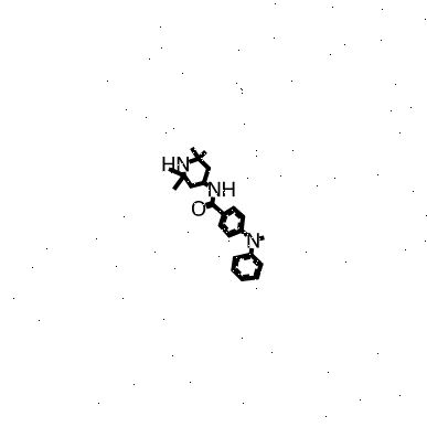 CN(c1ccccc1)c1ccc(C(=O)NC2CC(C)(C)NC(C)(C)C2)cc1